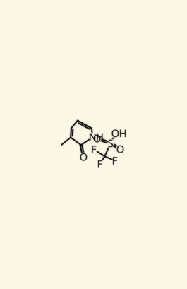 Cc1ccc[nH]c1=O.O=S(=O)(O)C(F)(F)F